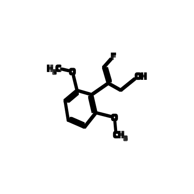 COc1cccc(OC)c1C(=CF)CO